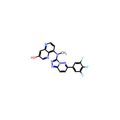 CN(c1ccnc2cc(O)cnc12)c1nnc2ccc(-c3cc(F)c(F)c(F)c3)nn12